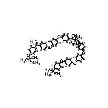 CCC(C)(C)Oc1ccc(C(C)c2ccc(Oc3ccc(Oc4ccc(C(C)(CC)C(C)(C)Oc5ccc(Oc6ccc(Oc7ccc(Oc8ccc(C(C)(C)C)cc8)cc7)cc6)cc5)cc4)cc3)cc2)cc1